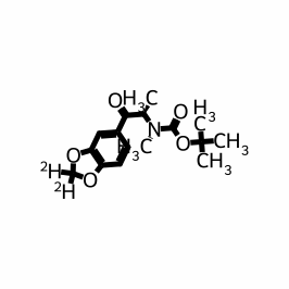 [2H]C1([2H])Oc2ccc(C(=O)[C@@H](C)N(C)C(=O)OC(C)(C)C)cc2O1